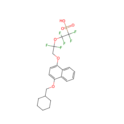 O=S(=O)(O)C(F)(F)C(F)(F)OC(F)(F)COc1ccc(OCC2CCCCC2)c2ccccc12